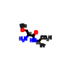 CC(C)[C@H](NC(=O)[C@@H](N)COC(C)(C)C)C(=O)O